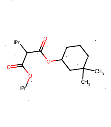 CC(C)OC(=O)C(C(=O)OC1CCCC(C)(C)C1)C(C)C